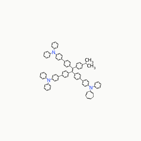 CC(C)c1ccc(/C(=C(\c2ccc(-c3ccc(N(C4=CCC=CC=C4)c4ccccc4)cc3)cc2)c2ccc(-c3ccc(N(c4ccccc4)c4ccccc4)cc3)cc2)c2ccc(-c3ccc(N(c4ccccc4)c4ccccc4)cc3)cc2)cc1